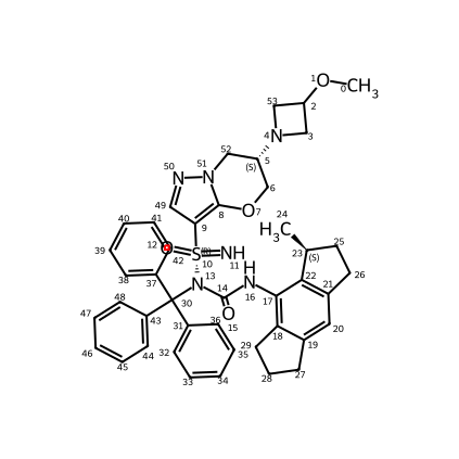 COC1CN([C@@H]2COc3c([S@@](=N)(=O)N(C(=O)Nc4c5c(cc6c4[C@@H](C)CC6)CCC5)C(c4ccccc4)(c4ccccc4)c4ccccc4)cnn3C2)C1